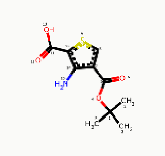 CC(C)(C)OC(=O)c1csc(C(=O)O)c1N